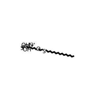 CCCCCCCCCCCCCCCSCCOCCCC(COP(O)(O)=S)[N+](C)(C)C